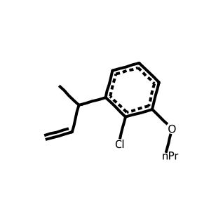 C=C[C](C)c1cccc(OCCC)c1Cl